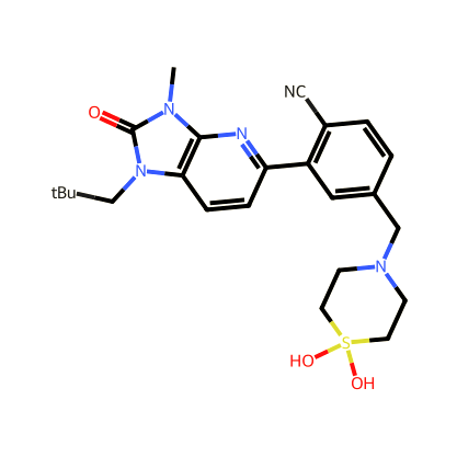 Cn1c(=O)n(CC(C)(C)C)c2ccc(-c3cc(CN4CCS(O)(O)CC4)ccc3C#N)nc21